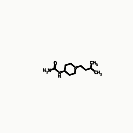 CC(C)CCN1CCC(NC(N)=O)CC1